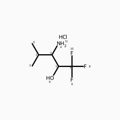 CC(C)C(N)C(O)C(F)(F)F.Cl